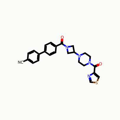 N#Cc1ccc(-c2ccc(C(=O)N3CC(N4CCN(C(=O)c5cscn5)CC4)C3)cc2)cc1